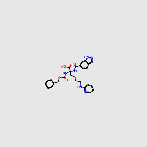 O=C(NC(CCCCNc1ccccn1)(NC(=O)c1ccc2cn[nH]c2c1)C(=O)O)OCc1ccccc1